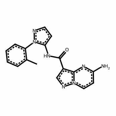 Cc1ccccc1-n1nccc1NC(=O)c1cnn2ccc(N)nc12